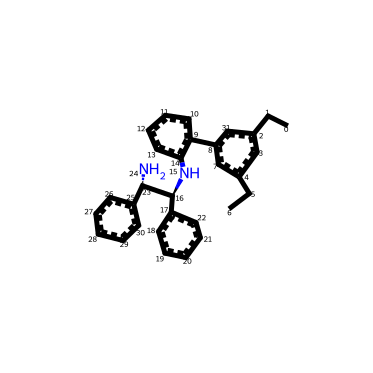 CCc1cc(CC)cc(-c2ccccc2N[C@@H](c2ccccc2)[C@@H](N)c2ccccc2)c1